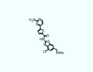 CNCc1cc(Cl)c2nc(NC(=O)c3ccc(-c4ccnc(N)n4)s3)sc2c1